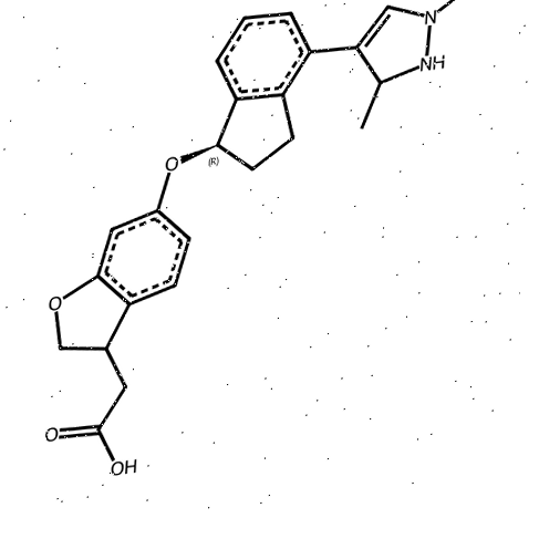 CC1NN(C)C=C1c1cccc2c1CC[C@H]2Oc1ccc2c(c1)OCC2CC(=O)O